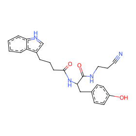 N#CCCNC(=O)C(Cc1ccc(O)cc1)NC(=O)CCCc1c[nH]c2ccccc12